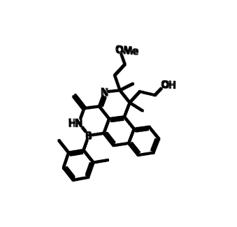 C=C1NB(c2c(C)cccc2C)c2cc3ccccc3c3c2C1=NC(C)(CCOC)C3(C)CCO